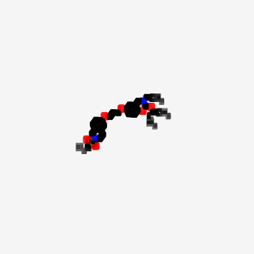 CCN(Cc1cccc(OCCCOc2ccc3c(c2)CCN(S(C)(=O)=O)C3)c1)C(=O)OC(C)C